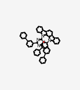 c1ccc(-c2ccc(-n3c4ccccc4c4ccc5c6ccccc6n(-c6nc(-c7cccc(-c8ccccc8)c7)nc(-c7cccc(-c8ccccc8)c7)n6)c5c43)cc2)cc1